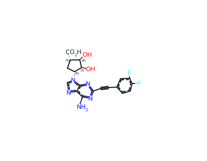 Nc1nc(C#Cc2ccc(F)c(F)c2)nc2c1ncn2[C@@H]1C[C@H](C(=O)O)[C@@H](O)[C@H]1O